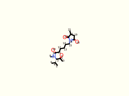 CC(=O)[C@H](C(C)C)N(C)C(=O)CCCCCN1C(=O)CC(C)C1=O